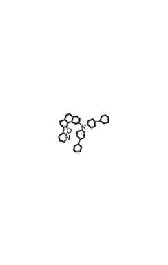 c1ccc(-c2ccc(N(c3ccc(-c4ccccc4)cc3)c3ccc4ccc5ccc6c7cccnc7oc6c5c4c3)cc2)cc1